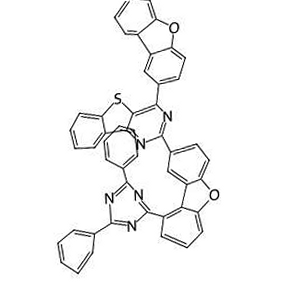 c1ccc(-c2nc(-c3ccccc3)nc(-c3cccc4oc5ccc(-c6nc(-c7ccc8oc9ccccc9c8c7)c7sc8ccccc8c7n6)cc5c34)n2)cc1